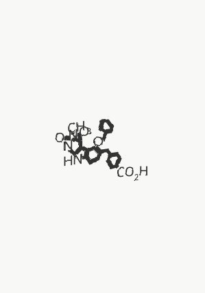 CN1C(=O)C2CN(Cc3[nH]c4ccc(Cc5ccc(C(=O)O)cc5)c(OCc5ccccc5)c4c32)C1=O